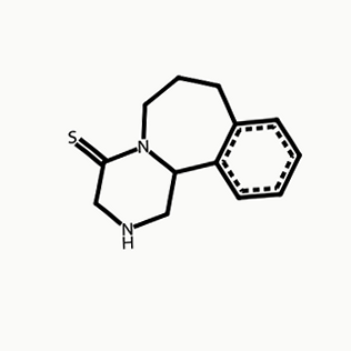 S=C1CNCC2c3ccccc3CCCN12